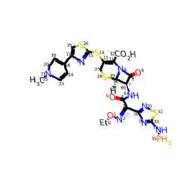 CCO/N=C(\C(=O)N[C@@H]1C(=O)N2C(C(=O)O)=C(Sc3nc(C4=CCN(C)C=C4)cs3)CS[C@H]12)c1nsc(NP)n1